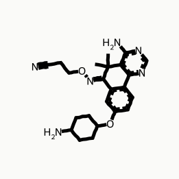 CC1(C)/C(=N\OCCC#N)c2cc(OC3CCC(N)CC3)ccc2-c2ncnc(N)c21